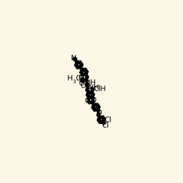 COC(=O)C(Cc1ccc(-c2ccc(C#N)cc2)cc1)NC(=O)C1Cc2cc3c(cc2CN1)OC(c1ccc(OCc2ccc(Cl)c(Cl)c2)cc1)CO3.Cl